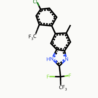 Cc1cc2nc(C(F)(F)C(F)(F)F)[nH]c2cc1-c1ccc(Cl)cc1C(F)(F)F